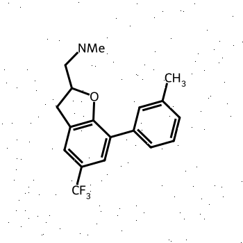 CNCC1Cc2cc(C(F)(F)F)cc(-c3cccc(C)c3)c2O1